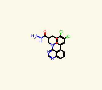 NNC(=O)C1CCCN(c2ncnc3cccc(-c4ccc(Cl)c(Cl)c4)c23)C1